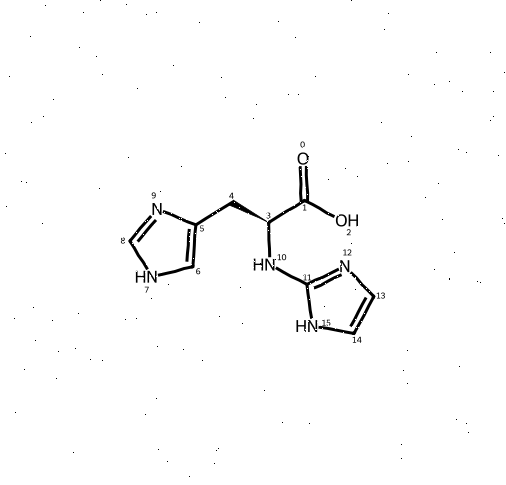 O=C(O)[C@H](Cc1c[nH]cn1)Nc1ncc[nH]1